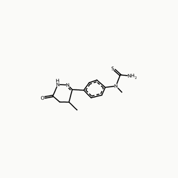 CC1CC(=O)NN=C1c1ccc(N(C)C(N)=S)cc1